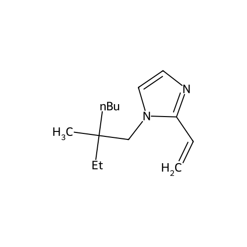 C=Cc1nccn1CC(C)(CC)CCCC